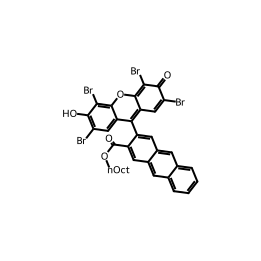 CCCCCCCCOC(=O)c1cc2cc3ccccc3cc2cc1-c1c2cc(Br)c(=O)c(Br)c-2oc2c(Br)c(O)c(Br)cc12